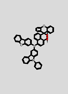 c1ccc(-n2c3ccccc3c3cc(N(c4ccc5c(c4)oc4ccccc45)c4ccc5c6c(cccc46)C4(c6ccccc6Oc6ccccc64)c4ccccc4-5)ccc32)cc1